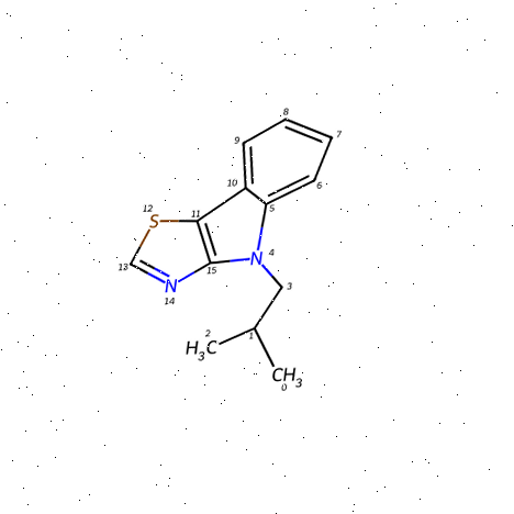 CC(C)Cn1c2ccccc2c2scnc21